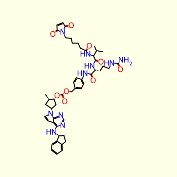 CC(C)C(NC(=O)CCCCCN1C(=O)C=CC1=O)C(=O)N[C@H](CCCNC(N)=O)C(=O)Nc1ccc(COC(=O)O[C@H]2C[C@H](n3ccc4c(N[C@H]5CCc6ccccc65)ncnc43)C[C@H]2C)cc1